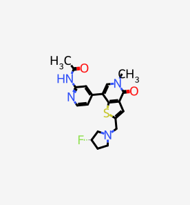 CC(=O)Nc1cc(-c2cn(C)c(=O)c3cc(CN4CC[C@H](F)C4)sc23)ccn1